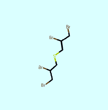 BrCC(Br)CSCC(Br)CBr